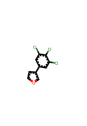 Clc1cc(-c2[c]occ2)cc(Cl)c1Cl